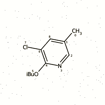 Cc1cnc(OCC(C)C)c(Cl)c1